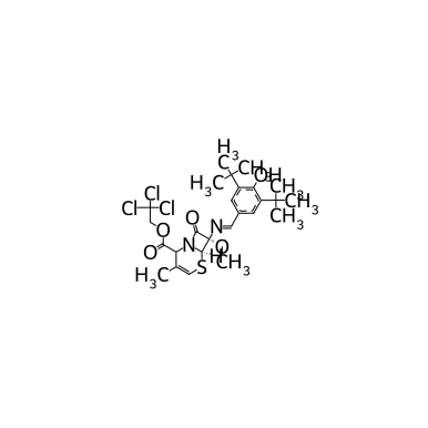 CO[C@@]1(/N=C/c2cc(C(C)(C)C)c(O)c(C(C)(C)C)c2)C(=O)N2C(C(=O)OCC(Cl)(Cl)Cl)C(C)=CS[C@@H]21